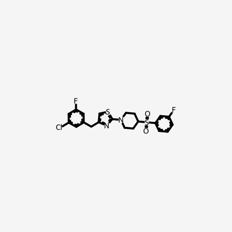 O=S(=O)(c1cccc(F)c1)C1CCN(c2nc(Cc3cc(F)cc(Cl)c3)cs2)CC1